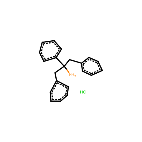 Cl.PC(Cc1ccccc1)(Cc1ccccc1)c1ccccc1